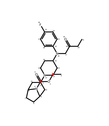 CCOC(=O)N1C2CCC1CC(N1CCC(N(CC(=O)CC)c3ccc(F)cc3)CC1)C2